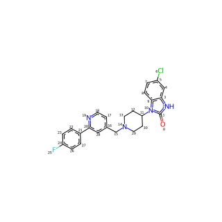 O=c1[nH]c2cc(Cl)ccc2n1C1CCN(Cc2ccnc(-c3ccc(F)cc3)c2)CC1